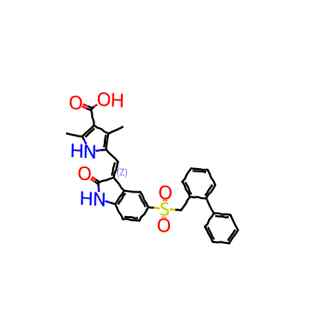 Cc1[nH]c(/C=C2\C(=O)Nc3ccc(S(=O)(=O)Cc4ccccc4-c4ccccc4)cc32)c(C)c1C(=O)O